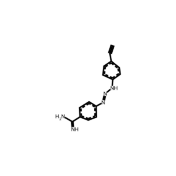 C#Cc1ccc(N/N=N/c2ccc(C(=N)N)cc2)cc1